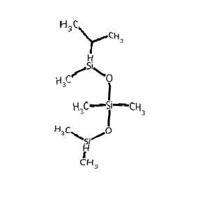 CC(C)[SiH](C)O[Si](C)(C)O[SiH](C)C